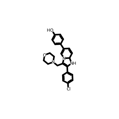 Oc1ccc(C2=CN3C(CN4CCOCC4)=C(c4ccc(Cl)cc4)NC3C=C2)cc1